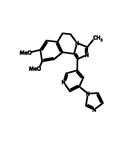 COc1cc2c(cc1OC)-c1c(-c3cncc(-n4ccnc4)c3)nc(C)n1CC2